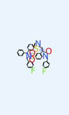 O=C1/C(=C/c2nccs2)c2cc(S(=O)(=O)N(Cc3ccc(F)cc3)C(c3ccccc3)c3ccccc3)ccc2N1Cc1ccc(F)cc1